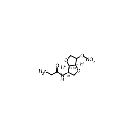 NCC(=O)N[C@@H]1CO[C@@H]2C(O[N+](=O)[O-])CO[C@@H]21